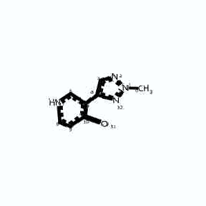 Cn1ncc(-c2c[nH]ccc2=O)n1